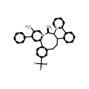 C=C1C2C(CCc3cc(C(F)(F)F)ccc3-c3cc(-c4ccccc4)c(C)c[n+]31)c1ccccc1-c1cccc[n+]12